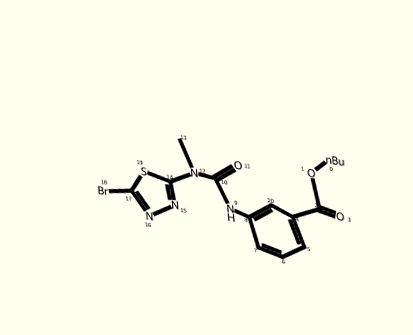 CCCCOC(=O)c1cccc(NC(=O)N(C)c2nnc(Br)s2)c1